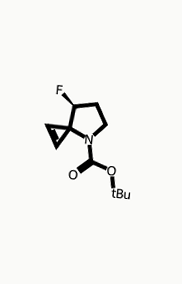 CC(C)(C)OC(=O)N1CC[C@H](F)C12C=C2